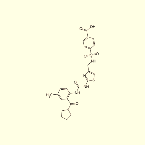 Cc1ccc(NC(=O)Nc2nc(CNS(=O)(=O)c3ccc(C(=O)O)cc3)cs2)c(C(=O)C2CCCC2)c1